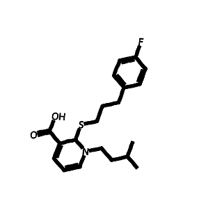 CC(C)CCN1C=CC=C(C(=O)O)C1SCCCc1ccc(F)cc1